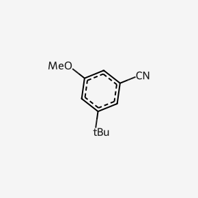 COc1cc(C#N)cc(C(C)(C)C)c1